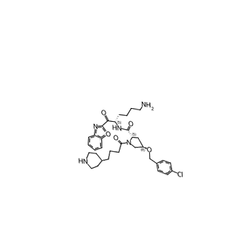 NCCCC[C@H](NC(=O)[C@@H]1C[C@@H](OCc2ccc(Cl)cc2)CN1C(=O)CCCC1CCNCC1)C(=O)c1nc2ccccc2o1